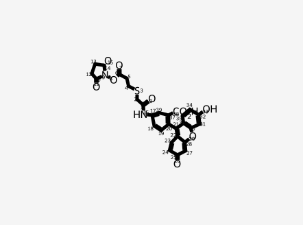 O=C(CSCCC(=O)ON1C(=O)CCC1=O)Nc1ccc(-c2c3ccc(=O)cc-3oc3cc(O)ccc23)c(C(=O)O)c1